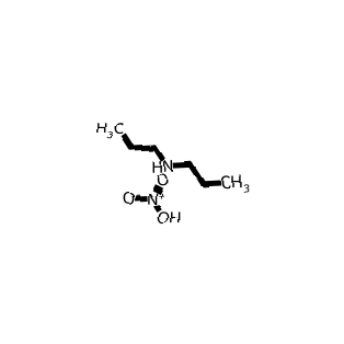 CCCNCCC.O=[N+]([O-])O